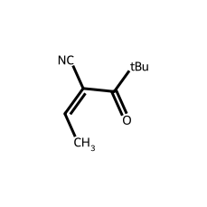 C/C=C(/C#N)C(=O)C(C)(C)C